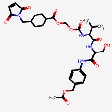 CC(=O)OCc1ccc(NC(=O)[C@H](CO)NC(=O)[C@@H](NC(=O)OCOC(=O)C2CCC(CN3C(=O)C=CC3=O)CC2)C(C)C)cc1